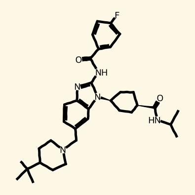 CC(C)NC(=O)[C@H]1CC[C@@H](n2c(NC(=O)c3ccc(F)cc3)nc3ccc(CN4CCC(C(C)(C)C)CC4)cc32)CC1